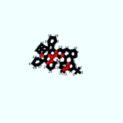 CC(C)(C)c1cc(-c2cccc3cccc(-c4ccccc4N(c4ccccc4-c4ccc5c(c4)C4(c6ccccc6-5)C5CC6CC7CC4C675)c4ccccc4-c4ccc5c(c4)oc4ccccc45)c23)cc(C(C)(C)C)c1